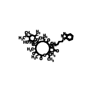 CC[C@H]1OC(=O)[C@H](C)C(=O)[C@H](C)[C@@H](O[C@@H]2OC(C)CC(N(C)C)C2O)[C@](C)(OC)C[C@@H](C)C(=O)[C@H](C)[C@H]2N(NCCCn3nnc4ccccc43)C(=O)O[C@]12C